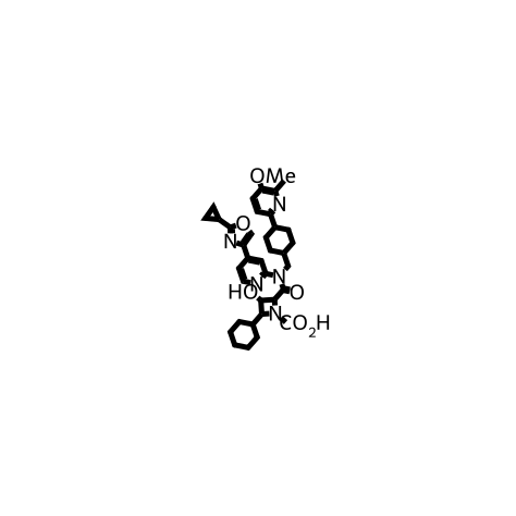 COc1ccc(C2CCC(CN(C(=O)C3C(O)C(C4CCCCC4)N3C(=O)O)c3cc(-c4coc(C5CC5)n4)ccn3)CC2)nc1C